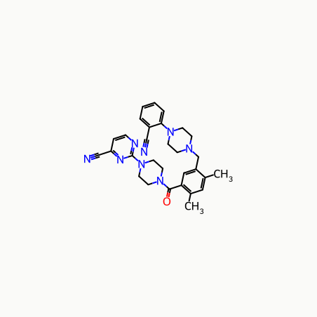 Cc1cc(C)c(C(=O)N2CCN(c3nccc(C#N)n3)CC2)cc1CN1CCN(c2ccccc2C#N)CC1